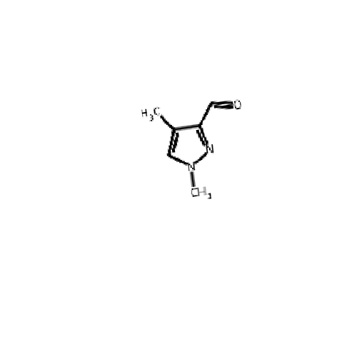 Cc1cn(C)nc1C=O